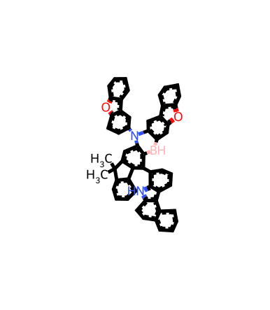 CC1(C)c2ccccc2-c2c1cc1c(c2-c2cccc3c2[nH]c2ccc4ccccc4c23)Bc2cc3oc4ccccc4c3cc2N1c1ccc2oc3ccccc3c2c1